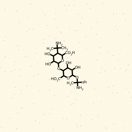 CCCC(C)(N)OC1OC(C(=O)O)C(OC2OC(C(=O)O)C(C(C)(C)N)C(O)C2O)C(O)C1O